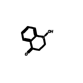 O=C1CCN(O)c2ccccc21